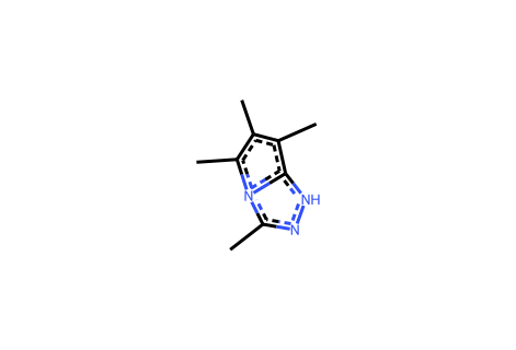 Cc1c(C)c2[nH]nc(C)n2c1C